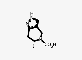 C[C@@H]1Cc2n[nH]cc2CN1C(=O)O